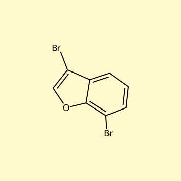 Brc1coc2c(Br)cccc12